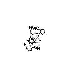 COc1ccc(C)cc1N(C(=O)n1nnn(-c2c(O)cccc2F)c1=O)C1CCCCC1